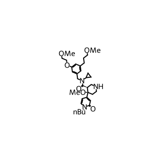 CCCCn1ccc([C@@]2(OC)CCNC[C@@H]2C(=O)N(Cc2cc(CCCOC)cc(OCCOC)c2)C2CC2)cc1=O